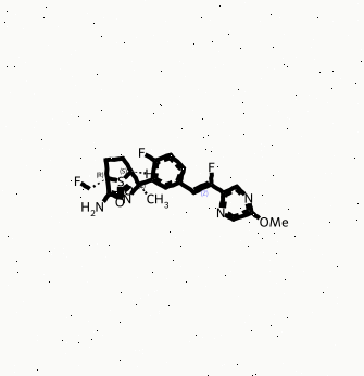 COc1cnc(/C(F)=C/c2ccc(F)c([C@@]3(C)N=C(N)[C@@]4(CF)CC[C@@H]3S4(=O)=O)c2)cn1